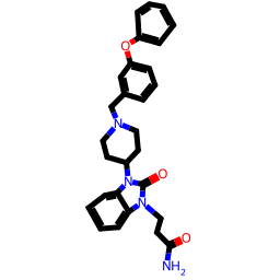 NC(=O)CCn1c(=O)n(C2CCN(Cc3cccc(Oc4ccccc4)c3)CC2)c2ccccc21